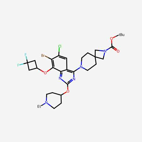 CCN1CCC(Oc2nc(N3CCC4(CC3)CN(C(=O)OC(C)(C)C)C4)c3cc(Cl)c(Br)c(OC4CC(F)(F)C4)c3n2)CC1